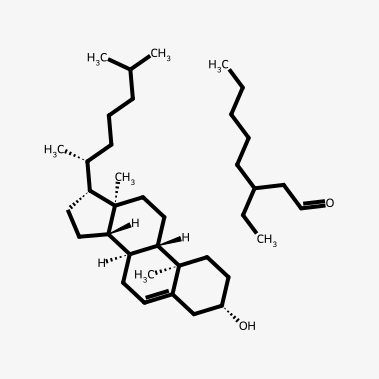 CC(C)CCC[C@@H](C)[C@H]1CC[C@H]2[C@@H]3CC=C4C[C@@H](O)CC[C@]4(C)[C@H]3CC[C@]12C.CCCCCC(CC)CC=O